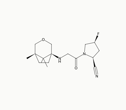 CC1(C)[C@]2(C)CC[C@@]1(NCC(=O)N1C[C@@H](F)C[C@H]1C#N)COC2